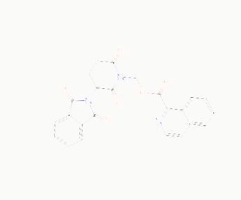 O=C(OCN1C(=O)CCC(N2C(=O)c3ccccc3C2=O)C1=O)c1nccc2ccccc12